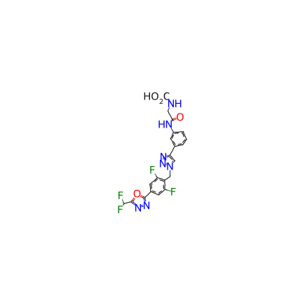 O=C(O)NCC(=O)Nc1cccc(-c2cn(Cc3c(F)cc(-c4nnc(C(F)F)o4)cc3F)nn2)c1